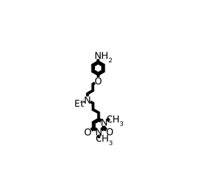 CCN(CCCOc1ccc(N)cc1)CCCc1cc(=O)n(C)c(=O)n1C